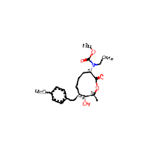 COCN(C(=O)OC(C)(C)C)[C@H]1CCC[C@H](Cc2ccc(OC)cc2)[C@@H](O)[C@H](C)OC1=O